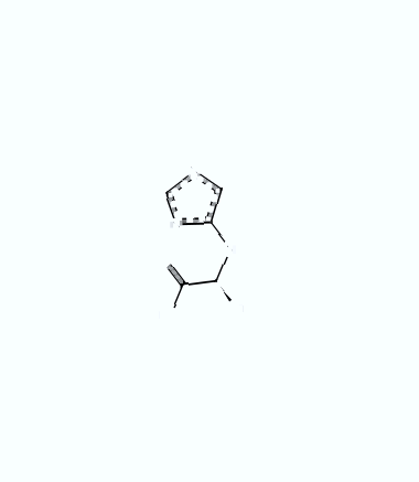 C[C@H](Nc1cnc[nH]1)C(=O)O